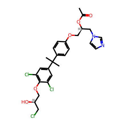 CC(=O)O[C@H](COc1ccc(C(C)(C)c2cc(Cl)c(OC[C@H](O)CCl)c(Cl)c2)cc1)Cn1ccnc1